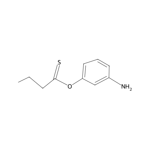 CCCC(=S)Oc1cccc(N)c1